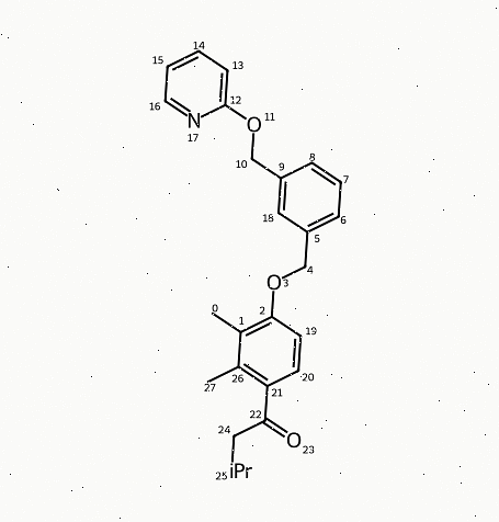 Cc1c(OCc2cccc(COc3ccccn3)c2)ccc(C(=O)CC(C)C)c1C